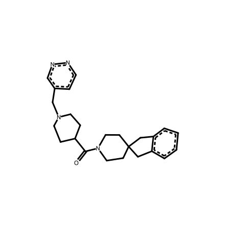 O=C(C1CCN(Cc2ccnnc2)CC1)N1CCC2(CC1)Cc1ccccc1C2